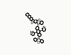 c1cncc(-c2c3ccc(N4c5ccccc5Oc5cc6c(cc54)oc4cc5cc7ccccc7cc5cc46)cc3c(-c3cccnc3)c3ccc(N4c5ccccc5Oc5ccccc54)cc23)c1